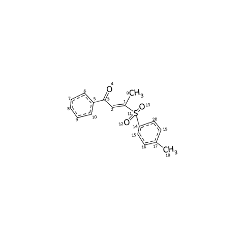 C/C(=C\C(=O)c1ccccc1)S(=O)(=O)c1ccc(C)cc1